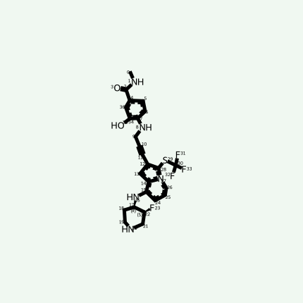 CNC(=O)c1ccc(NCC#Cc2cc3c(N[C@@H]4CCNC[C@@H]4F)cccn3c2SC(F)(F)F)c(O)c1